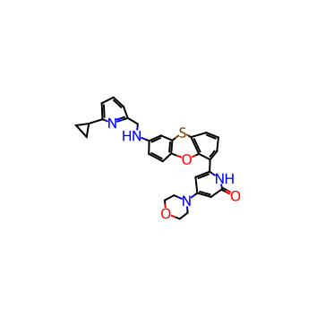 O=c1cc(N2CCOCC2)cc(-c2cccc3c2Oc2ccc(NCc4cccc(C5CC5)n4)cc2S3)[nH]1